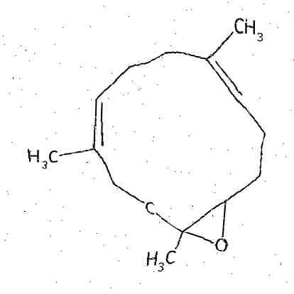 C/C1=C/CC/C(C)=C/CCC2OC2(C)CC1